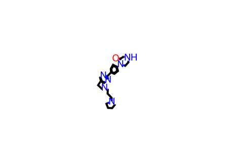 O=C1CNCCN1c1ccc(-c2ncc3c(n2)N(CCCN2CCCC2)CC3)cc1